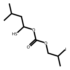 CC(C)CC(S)OC(=O)OCC(C)I